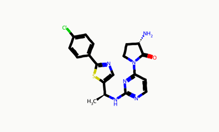 C[C@H](Nc1nccc(N2CC[C@H](N)C2=O)n1)c1cnc(-c2ccc(Cl)cc2)s1